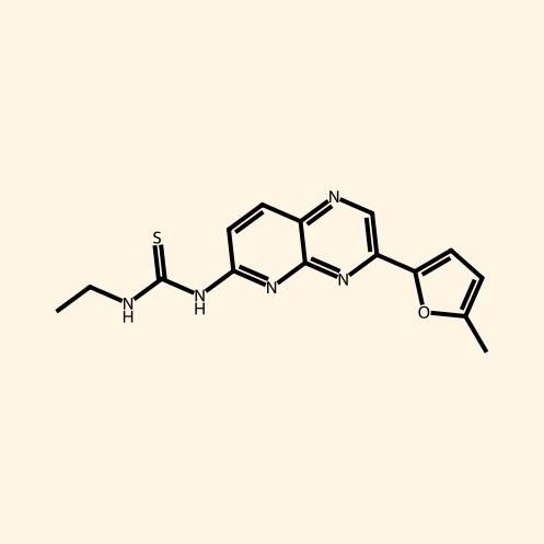 CCNC(=S)Nc1ccc2ncc(-c3ccc(C)o3)nc2n1